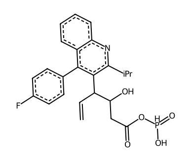 C=CC(c1c(C(C)C)nc2ccccc2c1-c1ccc(F)cc1)C(O)CC(=O)O[PH](=O)O